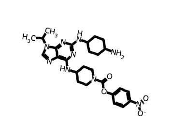 CC(C)n1cnc2c(NC3CCN(C(=O)Oc4ccc([N+](=O)[O-])cc4)CC3)nc(NC3CCC(N)CC3)nc21